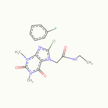 CCNC(=O)Cn1c(Cl)nc2c1c(=O)n(C)c(=O)n2C.Fc1ccccc1